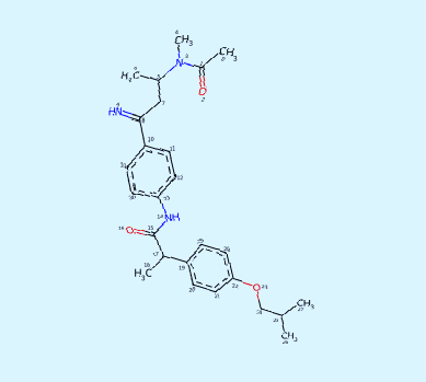 CC(=O)N(C)C(C)CC(=N)c1ccc(NC(=O)C(C)c2ccc(OCC(C)C)cc2)cc1